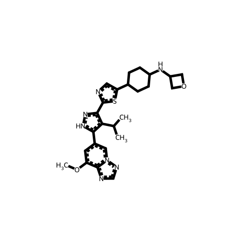 COc1cc(-c2[nH]nc(-c3ncc(C4CCC(NC5COC5)CC4)s3)c2C(C)C)cn2ncnc12